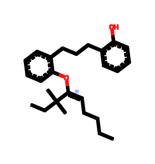 CCCC/C=C(/Oc1ccccc1CCCc1ccccc1O)C(C)(C)CC